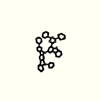 c1ccc(-c2ccc3c4cc5c6ccccc6n(-c6ccccc6)c5cc4n(-c4cc(-c5nc(-c6ccccc6)nc(-c6ccccc6)n5)c5sc6ccccc6c5c4)c3c2)cc1